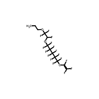 CCCOC(F)(F)C(F)OC(F)(F)C(F)(F)C(F)(F)C(F)(F)C(F)(F)OC(F)=C(F)F